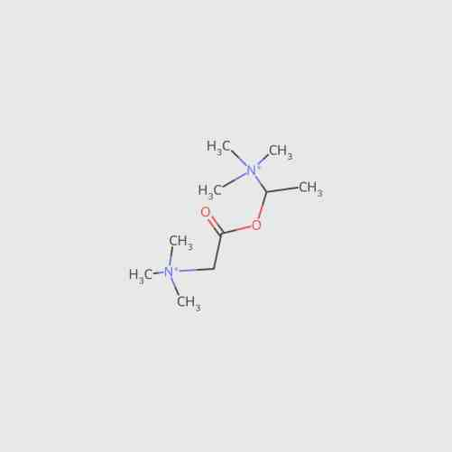 CC(OC(=O)C[N+](C)(C)C)[N+](C)(C)C